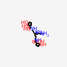 NCCCC(N)(CCCNC(=O)c1cccc(O)c1O)CCCNC(O)c1cccc(O)c1O